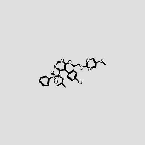 CSc1cnc(OCCOc2ncnc(N(CC(C)C)S(=O)(=O)c3ccccc3)c2-c2ccc(Cl)cc2)nc1